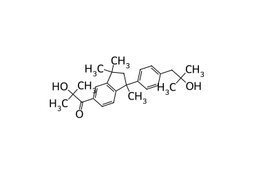 CC(C)(O)Cc1ccc(C2(C)CC(C)(C)c3cc(C(=O)C(C)(C)O)ccc32)cc1